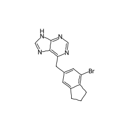 Brc1cc(Cc2ncnc3[nH]cnc23)cc2c1CCC2